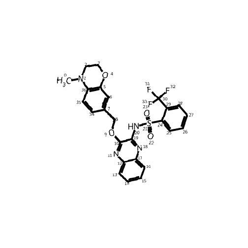 CN1CCOc2cc(COc3nc4ccccc4nc3NS(=O)(=O)c3ccccc3C(F)(F)F)ccc21